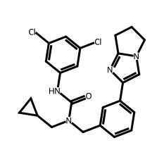 O=C(Nc1cc(Cl)cc(Cl)c1)N(Cc1cccc(-c2cn3c(n2)CCC3)c1)CC1CC1